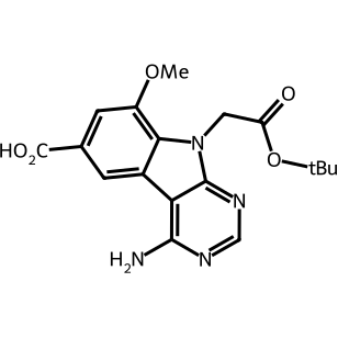 COc1cc(C(=O)O)cc2c3c(N)ncnc3n(CC(=O)OC(C)(C)C)c12